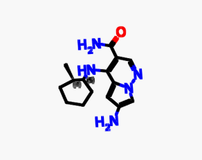 C[C@@H]1CCCC[C@@H]1Nc1c(C(N)=O)cnn2cc(N)cc12